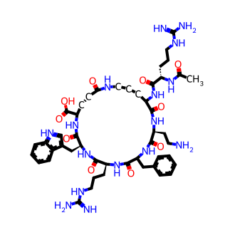 CC(=O)N[C@@H](CCCNC(=N)N)C(=O)NC1CCCNC(=O)CCC(C(=O)O)NC(=O)[C@H](Cc2c[nH]c3ccccc23)NC(=O)[C@H](CCCNC(=N)N)NC(=O)C(Cc2ccccc2)NC(=O)[C@H](CCN)NC1=O